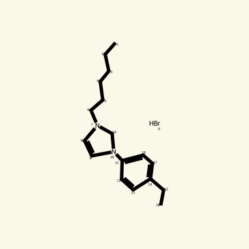 Br.CCCCCCN1C=CN(c2ccc(CC)cc2)C1